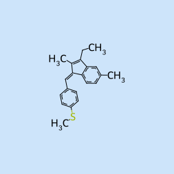 CCC1=C(C)/C(=C/c2ccc(SC)cc2)c2ccc(C)cc21